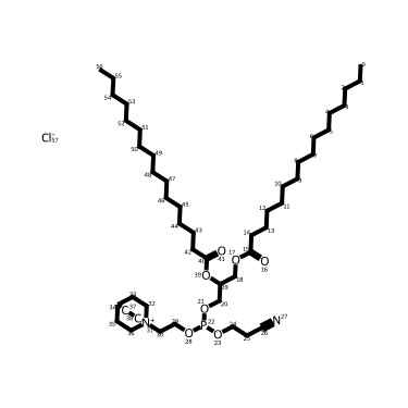 CCCCCCCCCCCCCCCC(=O)OCC(COP(OCCC#N)OCC[N+]12CCC(CC1)CC2)OC(=O)CCCCCCCCCCCCCCC.[Cl-]